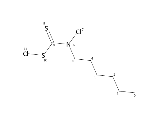 CCCCCCN(Cl)C(=S)SCl